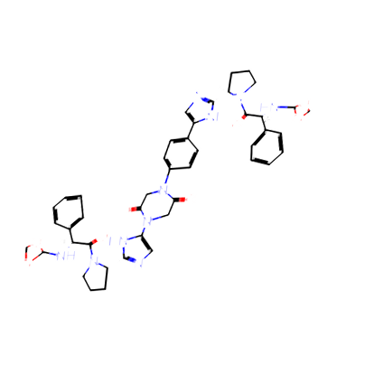 O=C1CN(c2cnc([C@@H]3CCCN3C(=O)[C@H](NC3OCO3)c3ccccc3)[nH]2)C(=O)CN1c1ccc(-c2cnc([C@@H]3CCCN3C(=O)[C@H](NC3OCO3)c3ccccc3)[nH]2)cc1